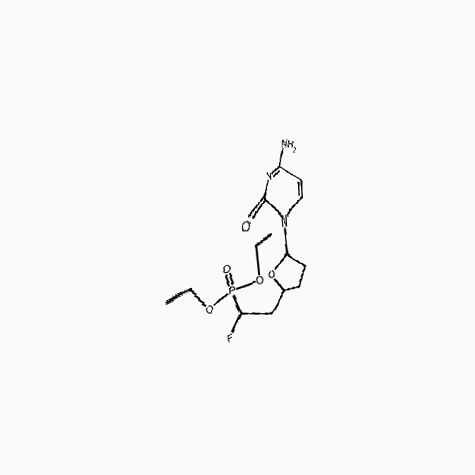 CCOP(=O)(OCC)C(F)CC1CCC(n2ccc(N)nc2=O)O1